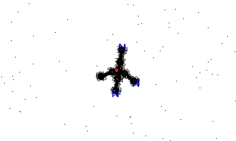 C(#Cc1ccc(C23CC4(c5ccc(C#Cc6ccncc6)cc5)CC(c5ccc(C#Cc6ccncc6)cc5)(C2)CC(c2ccc(C#Cc5ccncc5)cc2)(C3)C4)cc1)c1ccccc1